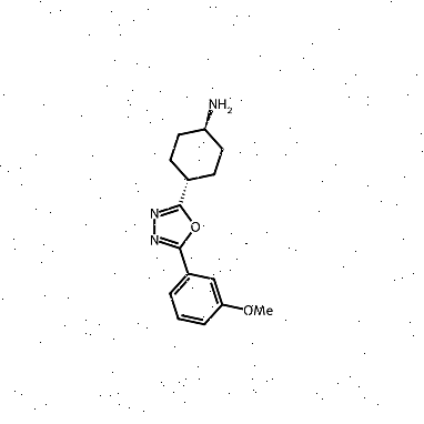 COc1cccc(-c2nnc([C@H]3CC[C@H](N)CC3)o2)c1